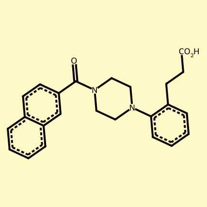 O=C(O)CCc1ccccc1N1CCN(C(=O)c2ccc3ccccc3c2)CC1